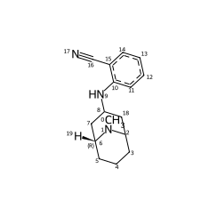 CN1C2CCC[C@@H]1CC(Nc1ccccc1C#N)C2